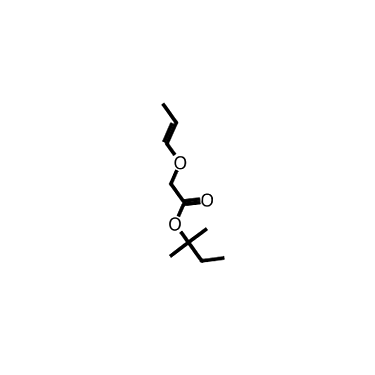 CC=COCC(=O)OC(C)(C)CC